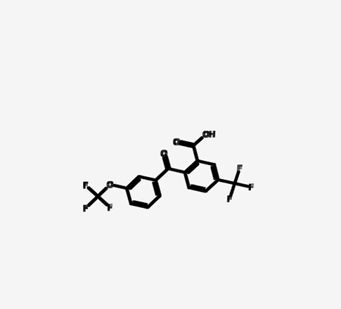 O=C(O)c1cc(C(F)(F)F)ccc1C(=O)c1cccc(OC(F)(F)F)c1